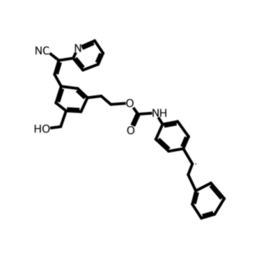 N#CC(=Cc1cc(CO)cc(CCOC(=O)Nc2ccc([CH]Cc3ccccc3)cc2)c1)c1ccccn1